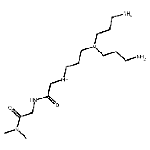 CN(C)C(=O)CNC(=O)CNCCCN(CCCN)CCCN